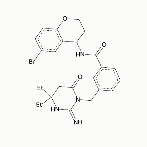 CCC1(CC)CC(=O)N(Cc2cccc(C(=O)NC3CCOc4ccc(Br)cc43)c2)C(=N)N1